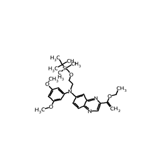 C=C(OCC)c1cnc2ccc(N(CCO[Si](C)(C)C(C)(C)C)c3cc(OC)cc(OC)c3)cc2n1